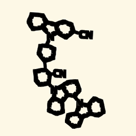 N#Cc1ccc2c3ccccc3n(-c3ccc(-c4cccc(-n5c6ccccc6c6c(-n7c8ccccc8c8ccccc87)cccc65)c4C#N)cc3)c2c1